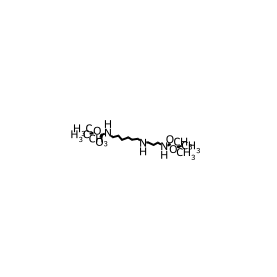 CC(C)(C)OC(=O)NCCCCCCNCCCNC(=O)OC(C)(C)C